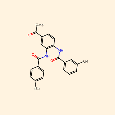 COC(=O)c1ccc(NC(=O)c2cccc(C#N)c2)c(NC(=O)c2ccc(C(C)(C)C)cc2)c1